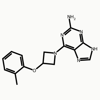 Cc1ccccc1OC1CN(c2nc(N)nc3[nH]cnc23)C1